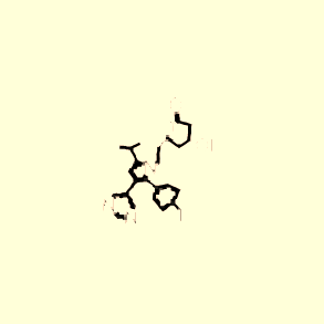 CC(C)c1cc(-c2cncnc2)c(-c2ccc(F)cc2)n1CC[C@@H]1C[C@@H](O)CC(=O)O1